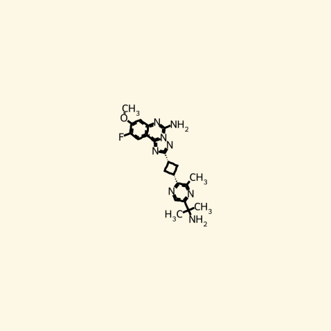 COc1cc2nc(N)n3nc([C@H]4C[C@@H](c5ncc(C(C)(C)N)nc5C)C4)nc3c2cc1F